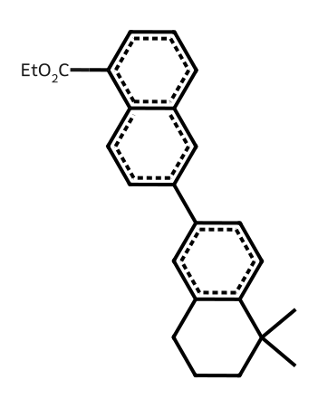 CCOC(=O)c1cccc2cc(-c3ccc4c(c3)CCCC4(C)C)ccc12